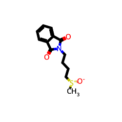 C[S+]([O-])CCCCN1C(=O)c2ccccc2C1=O